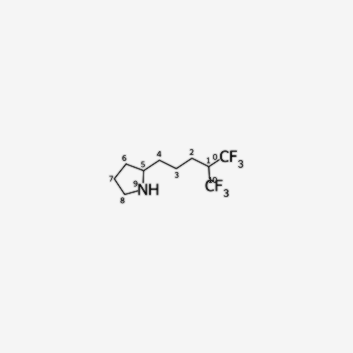 FC(F)(F)C(CCCC1CCCN1)C(F)(F)F